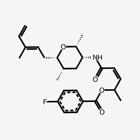 C=C/C(C)=C/C[C@@H]1O[C@H](C)[C@H](NC(=O)/C=C\C(C)OC(=O)c2ccc(F)cc2)C[C@@H]1C